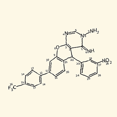 N=c1c2c(ncn1N)Oc1cc(-c3ccc(C(F)(F)F)cc3)ccc1C2c1cccc([N+](=O)[O-])c1